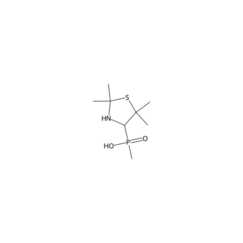 CC1(C)NC(P(C)(=O)O)C(C)(C)S1